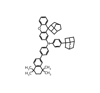 CC1(C)CCC(C)(C)c2cc(-c3ccc(N(c4ccc(C56CC7CC8CC(C5)C86C7)cc4)c4ccc5c(c4)C4(c6ccccc6O5)C5CC6CC7CC4C75C6)cc3)ccc21